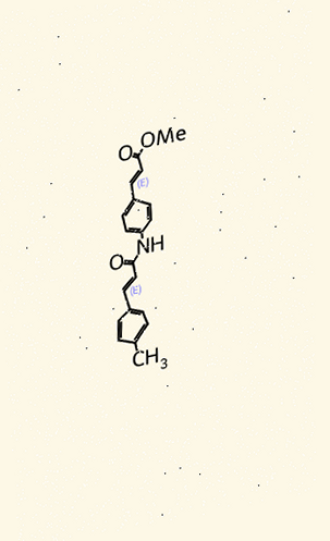 COC(=O)/C=C/c1ccc(NC(=O)/C=C/c2ccc(C)cc2)cc1